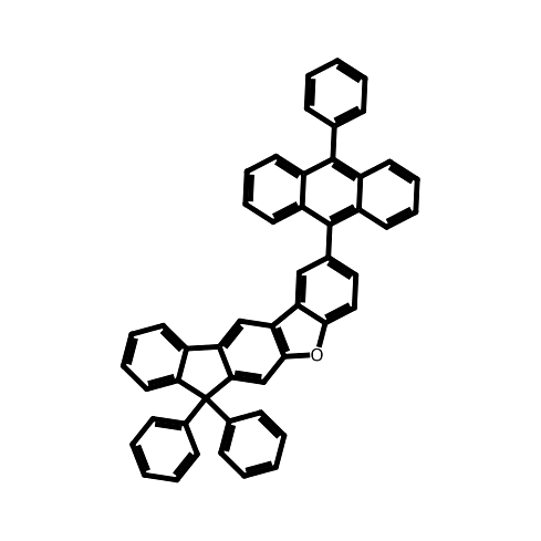 c1ccc(-c2c3ccccc3c(-c3ccc4oc5cc6c(cc5c4c3)-c3ccccc3C6(c3ccccc3)c3ccccc3)c3ccccc23)cc1